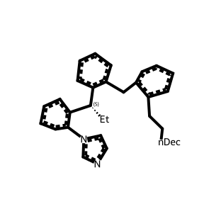 CCCCCCCCCCCCc1ccccc1Cc1ccccc1[C@H](CC)c1ccccc1-n1ccnc1